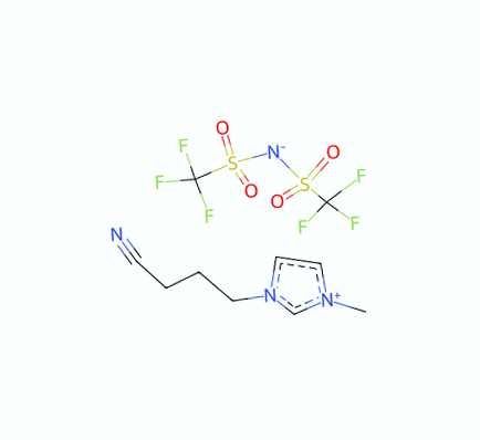 C[n+]1ccn(CCCC#N)c1.O=S(=O)([N-]S(=O)(=O)C(F)(F)F)C(F)(F)F